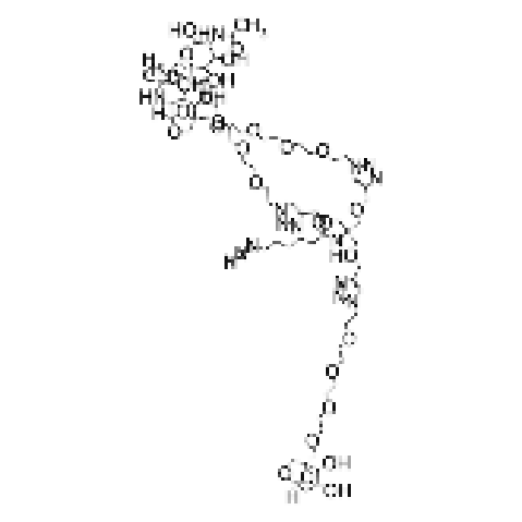 CC(=O)N[C@@H]1[C@@H](O)[C@@H](O)[C@@](C)(COCCOCCOCCOCCn2cc(COCC(COCc3cn(CCOCCOCCOCCOC[C@@]45CO[C@@H](O4)[C@H](NC(C)=O)[C@@H](O)[C@H]5O)nn3)(COCc3cn(CCOCCOCCOCCOC[C@]45CO[C@H](C[C@@H](O)[C@H]4O)O5)nn3)NC(=O)CCCCCN=[N+]=[N-])nn2)O[C@@H]1O